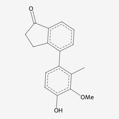 COc1c(O)ccc(-c2cccc3c2CCC3=O)c1C